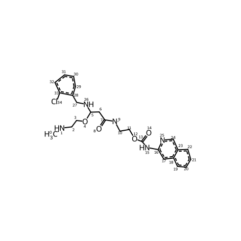 CNCCOC(CC(=O)[N]CCOC(=O)Nc1cc2ccccc2cn1)NCc1ccccc1Cl